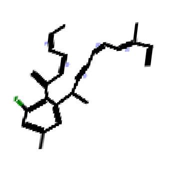 C=C/C(C)=C/C=C\C=C\C(C)c1cc(C)cc(F)c1C(=C)/C=C\C=C/C